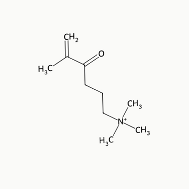 C=C(C)C(=O)CCC[N+](C)(C)C